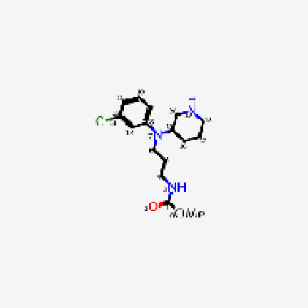 COC(=O)NCCCN(c1cccc(Cl)c1)C1CCCNC1